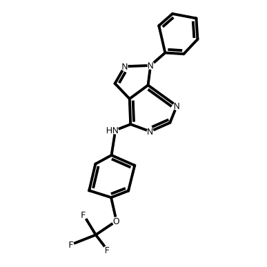 FC(F)(F)Oc1ccc(Nc2ncnc3c2cnn3-c2ccccc2)cc1